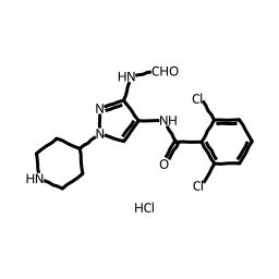 Cl.O=CNc1nn(C2CCNCC2)cc1NC(=O)c1c(Cl)cccc1Cl